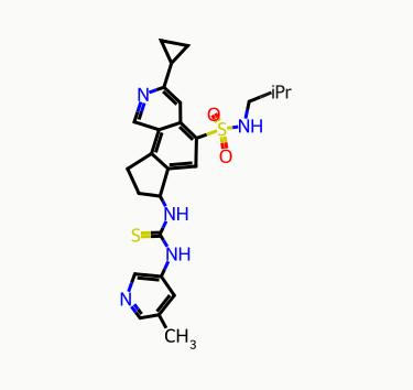 Cc1cncc(NC(=S)NC2CCc3c2cc(S(=O)(=O)NCC(C)C)c2cc(C4CC4)ncc32)c1